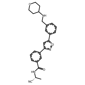 C[C@H](C#N)NC(=O)c1cccc(-c2cc(-c3cccc(CNC4CCOCC4)c3)on2)c1